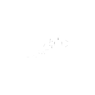 COC(=O)Oc1ccc2nc(C(=O)c3ccccc3)cn2c1